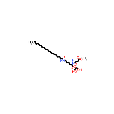 CCC=CCC=CCC=CCC=CCC=CCCCC(=O)NCCCCC(NC(=O)C=CC(=O)OC)C(=O)OC(CO)CO